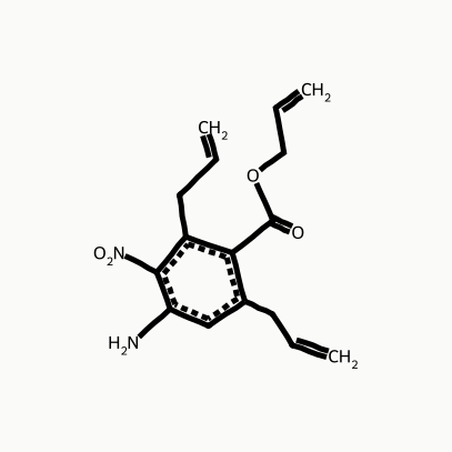 C=CCOC(=O)c1c(CC=C)cc(N)c([N+](=O)[O-])c1CC=C